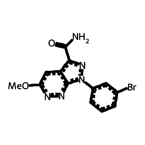 COc1cc2c(C(N)=O)nn(-c3cccc(Br)c3)c2nn1